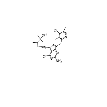 Cc1cnc(Cn2cc(C#CC[C@@H](C)C(C)(C)O)c3c(Cl)nc(N)nc32)c(C)c1Cl